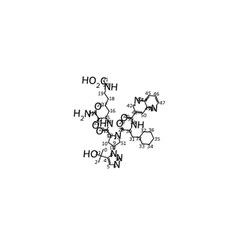 CC(C)(O)c1cnnn1[C@H]1C[C@@H](C(=O)NC(CCCCNC(=O)O)C(=O)C(N)=O)N(C(=O)C(CC2CCCCC2)NC(=O)c2cnc3cccnc3c2)C1